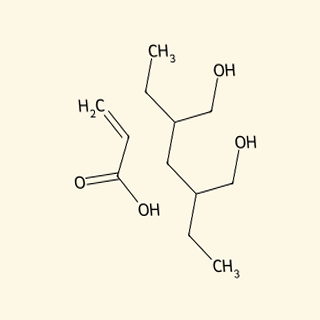 C=CC(=O)O.CCC(CO)CC(CC)CO